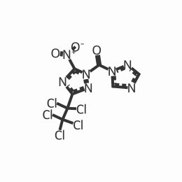 O=C(n1cncn1)n1nc(C(Cl)(Cl)C(Cl)(Cl)Cl)nc1[N+](=O)[O-]